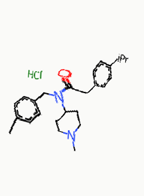 Cc1ccc(CN(C(=O)Cc2ccc(C(C)C)cc2)C2CCN(C)CC2)cc1.Cl